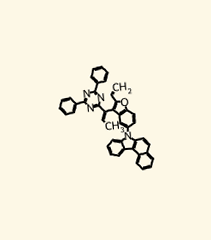 C=Cc1oc2ccc(-n3c4ccccc4c4c5ccccc5ccc43)cc2c1/C(=C\C)c1nc(-c2ccccc2)nc(-c2ccccc2)n1